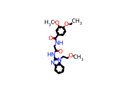 CCOc1ccc(C(=O)NCC(=O)Nc2nc3ccccc3n2CCOC)cc1OC